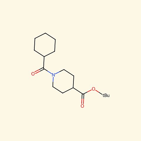 CC(C)(C)OC(=O)C1CCN(C(=O)C2CCCCC2)CC1